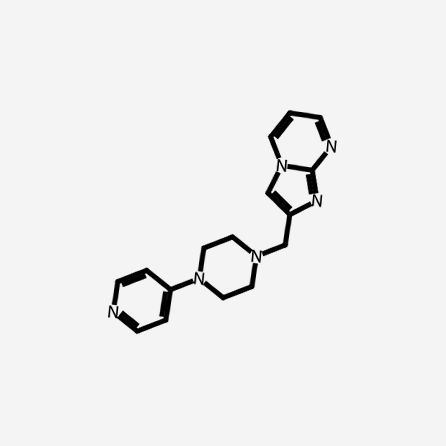 c1cnc2nc(CN3CCN(c4ccncc4)CC3)cn2c1